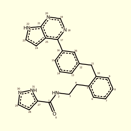 O=C(NCCc1ccccc1Cc1cccc(-c2ncnc3[nH]ccc23)c1)c1ccn[nH]1